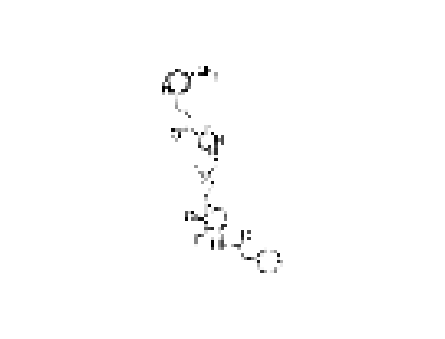 O=C(Cc1ccccc1)Nc1ccn(CC[C@H](F)Cn2cc(C(=O)NCc3cc(C(F)(F)F)ccn3)nn2)c(=O)c1F